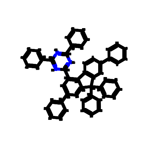 c1ccc(-c2ccc3c(c2)C(c2ccccc2)(c2ccccc2)c2cc(-c4ccccc4)cc(-c4nc(-c5ccccc5)nc(-c5ccccc5)n4)c2-3)cc1